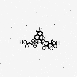 CC[C@@]1(O)C(=O)OCc2c1cc1n(c2=O)Cc2c-1nc1cc(F)c(C)c3c1c2[C@@H](NS(=O)(=O)CCC(=O)O)CC3